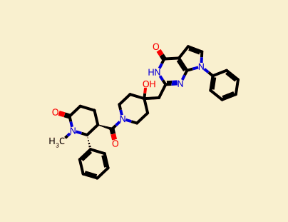 CN1C(=O)CC[C@@H](C(=O)N2CCC(O)(Cc3nc4c(ccn4-c4ccccc4)c(=O)[nH]3)CC2)[C@@H]1c1ccccc1